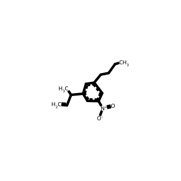 C=C[C](C)c1cc(CCCC)cc([N+](=O)[O-])c1